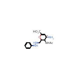 CC(=O)NC1C(CNNc2ccccc2)OC(C(=O)O)=C[C@H]1N